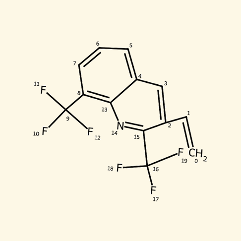 C=Cc1cc2cccc(C(F)(F)F)c2nc1C(F)(F)F